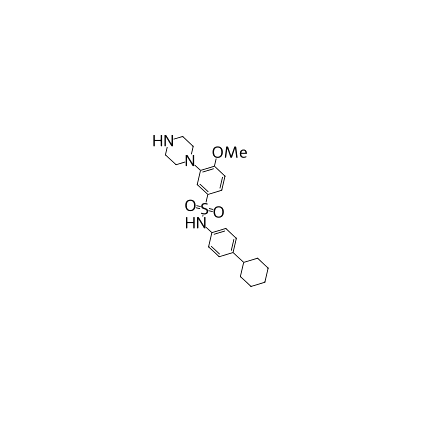 COc1ccc(S(=O)(=O)Nc2ccc(C3CCCCC3)cc2)cc1N1CCNCC1